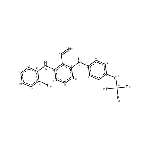 N=Cc1c(Nc2ccc(OC(F)(F)F)cc2)ncnc1Nc1ccccc1F